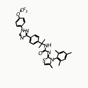 Cc1cc(C)c(-n2c(C)cs/c2=N\C(=O)NC(C)(C)c2ccc(-c3ncn(-c4ccc(OC(F)(F)F)cc4)n3)cc2)c(C)c1